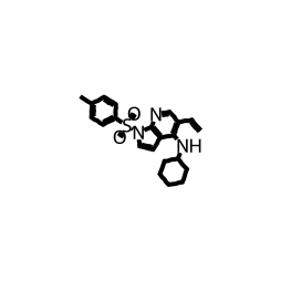 C=Cc1cnc2c(ccn2S(=O)(=O)c2ccc(C)cc2)c1NC1CCCCC1